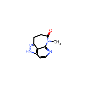 CN1C(=O)CCc2n[nH]c3ccnc1c23